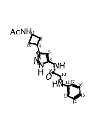 CC(=O)N[C@H]1C[C@@H](c2cc(NC(=O)CNc3ccccc3)[nH]n2)C1